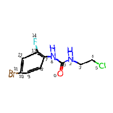 O=C(NCCCl)Nc1ccc(Br)cc1F